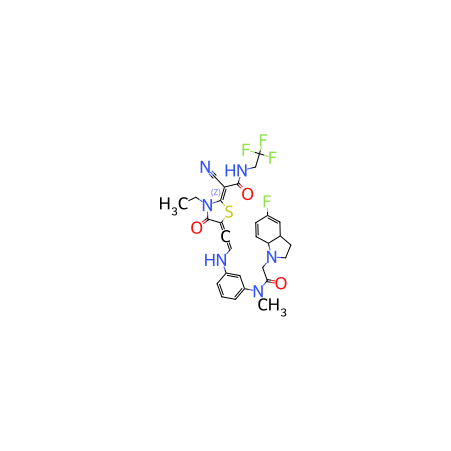 CCn1c(=O)c(=C=CNc2cccc(N(C)C(=O)CN3CCC4C=C(F)C=CC43)c2)s/c1=C(/C#N)C(=O)NCC(F)(F)F